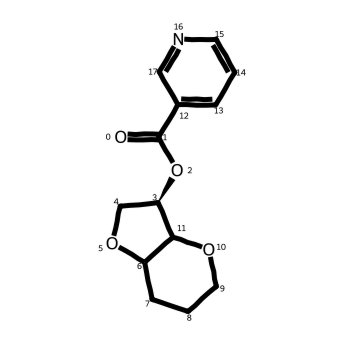 O=C(O[C@@H]1COC2CCCOC21)c1cccnc1